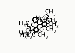 CCCC(C)(C)c1c(C)c(C)c2c(c1C)C(c1ccccc1)c1c(C)c(C(CC)(CCC)OCC3CO3)c(C)c(C)c1O2